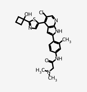 Cc1cc(NC(=O)CN(C)C)ccc1-c1cc2c(-c3cnc(C4(O)CCC4)s3)c(Cl)cnc2[nH]1